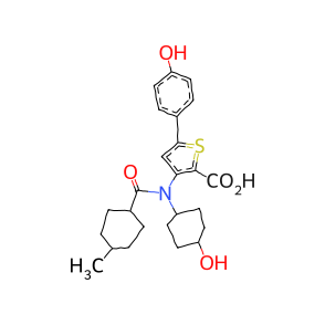 CC1CCC(C(=O)N(c2cc(-c3ccc(O)cc3)sc2C(=O)O)C2CCC(O)CC2)CC1